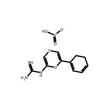 N=C(N)NC1=COC=C(C2=CC=CCC2)O1.O=[N+]([O-])O